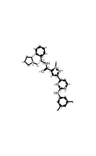 Cc1cc(C)cc(Nc2nccc(-c3cc(C(=O)N[C@H](CN4CCCC4)c4ccccc4)n(C)n3)n2)c1